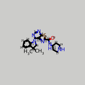 CC1(C)CN(c2ncnc3sc(C(=O)NC4CCNCC4)nc23)c2ccccc21